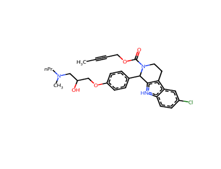 CC#CCOC(=O)N1CCc2c([nH]c3ccc(Cl)cc23)C1c1ccc(OCC(O)CN(C)CCC)cc1